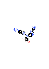 COc1cc(OC)cc(N(CCN(Cc2ccc(N)cc2)C(C)C)c2ccc3ncc(C4C=NN(C)C4)nc3c2)c1